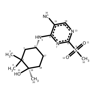 CC1(C)C[C@H](Nc2nc(S(C)(=O)=O)ncc2C#N)CC[C@@]1(C)O